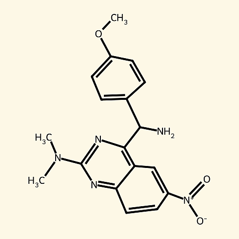 COc1ccc(C(N)c2nc(N(C)C)nc3ccc([N+](=O)[O-])cc23)cc1